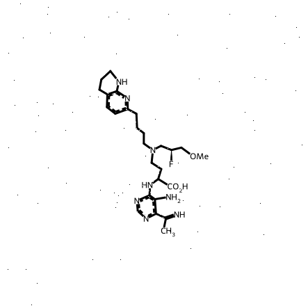 COC[C@@H](F)CN(CCCCc1ccc2c(n1)NCCC2)CCC(Nc1ncnc(C(C)=N)c1N)C(=O)O